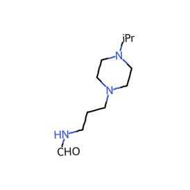 CC(C)N1CCN(CCCNC=O)CC1